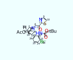 CC(=O)O[C@H]1C[N+]2(CC(=O)c3nccs3)CCC1CC2.CC(C)(C)OC(=O)Nc1ccccc1.[Br-]